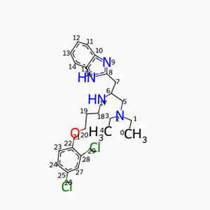 CCN(CC)CC(Cc1nc2ccccc2[nH]1)NCCCOc1ccc(Cl)cc1Cl